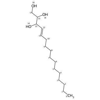 CCCCCCCCCCCC=CC(O)C(O)CO